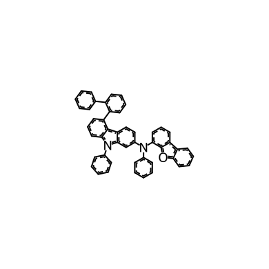 c1ccc(-c2ccccc2-c2cccc3c2c2ccc(N(c4ccccc4)c4cccc5c4oc4ccccc45)cc2n3-c2ccccc2)cc1